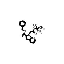 CC(C)(C)OC(=O)Cn1c(C(=O)OCc2ccccc2)cc2cccnc21